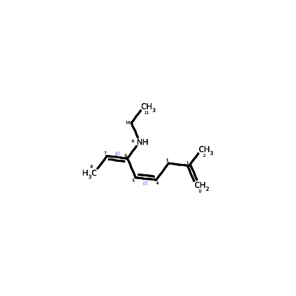 C=C(C)C/C=C\C(=C/C)NCC